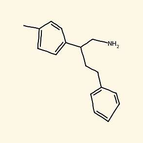 Cc1ccc(C(CN)CCc2ccccc2)cc1